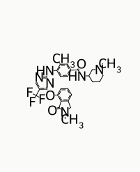 Cc1cc(C(=O)NC2CCCN(C)C2)ccc1Nc1ncc(C(F)(F)F)c(Oc2cccc3c2C(=O)N(C)C3)n1